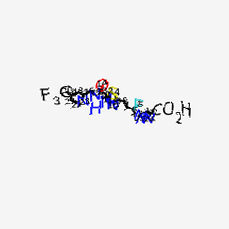 O=C(O)c1cn(CC(F)CCc2nnc(C(=O)NCc3cc(C(F)(F)F)ccn3)s2)nn1